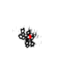 CC1=C(C)C(C)CC(N(C2=C3C=CC=CC3Cc3c2c2cccc4c5c(N(c6cc(C)c(C)c(C)c6)c6cc(C)c(C)c(C)c6)c6ccccc6cc5n3c24)c2cc(C)c(C)c(C)c2)=C1